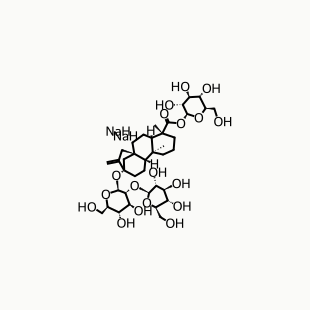 C=C1C[C@@]23CC[C@H]4[C@@](C)(CCC[C@@]4(C)C(=O)O[C@@H]4O[C@H](CO)[C@@H](O)[C@H](O)[C@H]4O)[C@@H]2CC[C@]1(O[C@@H]1O[C@H](CO)[C@@H](O)[C@H](O)[C@H]1O[C@@H]1O[C@H](CO)[C@@H](O)[C@H](O)[C@H]1O)C3.[NaH].[NaH]